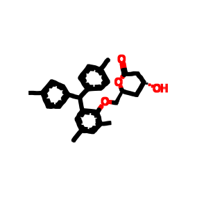 Cc1ccc(C(c2ccc(C)cc2)c2cc(C)cc(C)c2OC[C@@H]2C[C@@H](O)CC(=O)O2)cc1